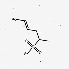 CCS(=O)(=O)C(C)C/C=C/C(C)=O